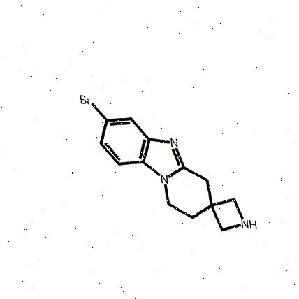 Brc1ccc2c(c1)nc1n2CCC2(CNC2)C1